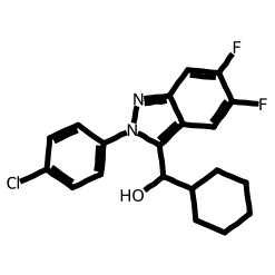 OC(c1c2cc(F)c(F)cc2nn1-c1ccc(Cl)cc1)C1CCCCC1